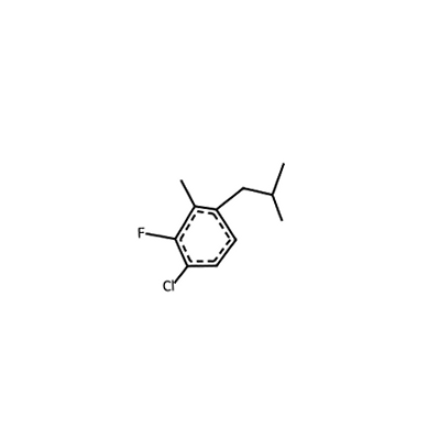 Cc1c(CC(C)C)ccc(Cl)c1F